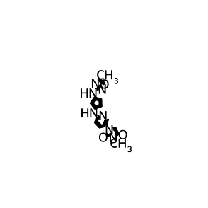 Cc1nc(N[C@H]2CC[C@H](Nc3ccc(N4CC(=O)N(C)C4=O)cn3)C2)no1